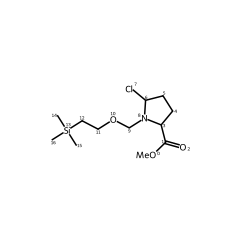 COC(=O)C1CCC(Cl)N1COCC[Si](C)(C)C